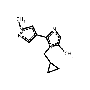 Cc1cnc(-c2cnn(C)c2)n1CC1CC1